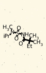 CCC(C)(C)C(=O)NS(=O)(=O)N(C)C(C)C